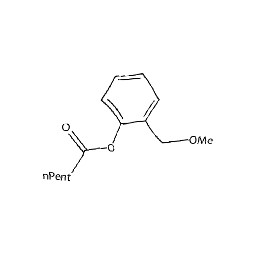 CCCCCC(=O)Oc1ccccc1COC